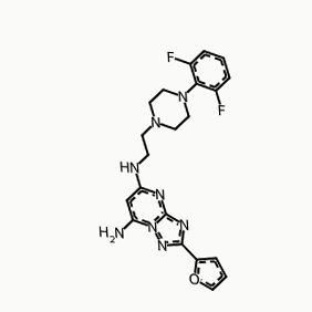 Nc1cc(NCCN2CCN(c3c(F)cccc3F)CC2)nc2nc(-c3ccco3)nn12